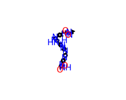 Cc1cc(-c2ncnc3[nH]c(-c4ccc(N5CCN(CC6CCN(c7ccc(N8CCC(=O)NC8=O)cc7)CC6)CC5)nc4)cc23)ccc1C(C)NC(=O)c1nc(C2(C)CC2)no1